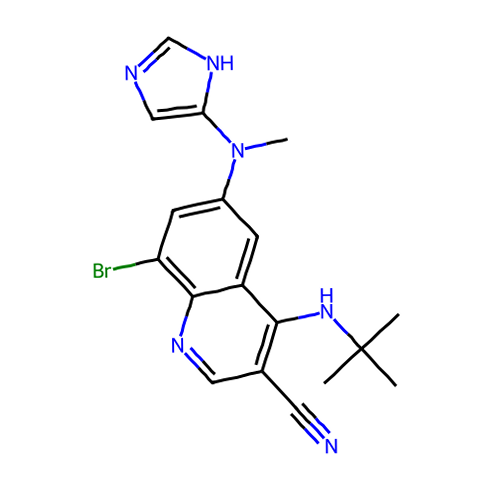 CN(c1cc(Br)c2ncc(C#N)c(NC(C)(C)C)c2c1)c1cnc[nH]1